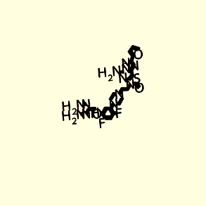 N/N=C(/COc1cc(N2CCN(CCn3c(=O)sc4c3nc(N)n3nc(-c5ccco5)nc43)CC2)c(F)cc1F)NN